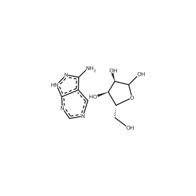 Nc1n[nH]c2ncncc12.OC[C@H]1OC(O)[C@H](O)[C@@H]1O